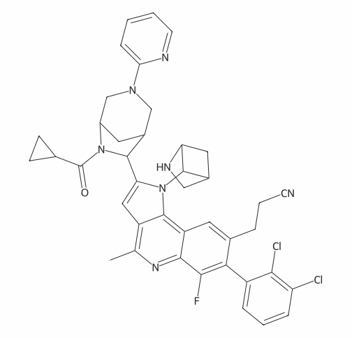 Cc1nc2c(F)c(-c3cccc(Cl)c3Cl)c(CCC#N)cc2c2c1cc(C1C3CC(CN(c4ccccn4)C3)N1C(=O)C1CC1)n2C1C2CNC1C2